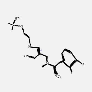 CN(C/C(C=N)=C/NCCO[Si](C)(C)C(C)(C)C)C(=O)c1cccc(Br)c1F